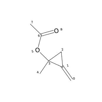 C=C1CC1(C)OC(C)=O